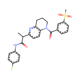 CC(C(=O)Nc1ccc(F)cc1)c1ccc2c(n1)CCCN2C(=O)c1cccc(S(C)(=O)=O)c1